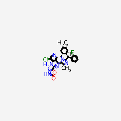 C=C[C@H]1CC[C@H](CN2C(C(C)c3ccccc3F)=NC(C)/C2=C(\N=C(/N)c2n[nH]c(=O)o2)c2cncc(Cl)c2)CC1